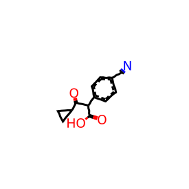 N#Cc1ccc(C(C(=O)O)C(=O)C2CC2)cc1